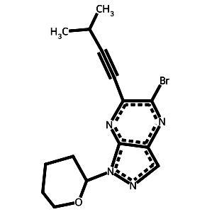 CC(C)C#Cc1nc2c(cnn2C2CCCCO2)nc1Br